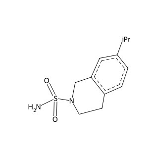 CC(C)c1ccc2c(c1)CN(S(N)(=O)=O)CC2